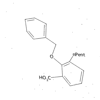 CCCCCc1cccc(C(=O)O)c1OCc1ccccc1